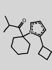 CC(C)C(=O)C1(n2cccc2C2CCC2)CCCCC1